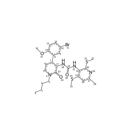 CCCCn1ccc(-c2cc(Br)ccc2OC)c(NC(=O)Nc2c(SC)cc(C)nc2SC)c1=O